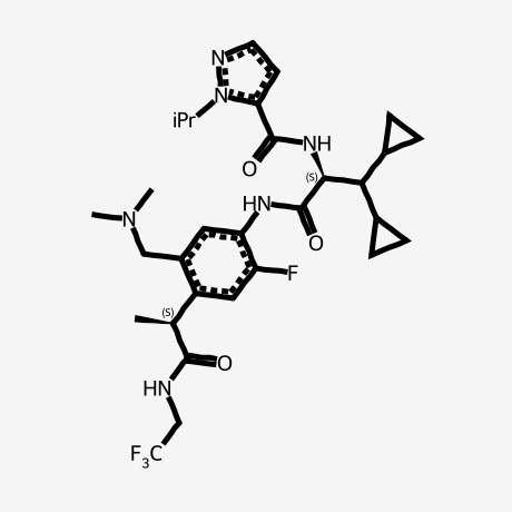 CC(C)n1nccc1C(=O)N[C@H](C(=O)Nc1cc(CN(C)C)c([C@H](C)C(=O)NCC(F)(F)F)cc1F)C(C1CC1)C1CC1